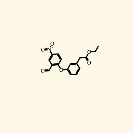 CCOC(=O)Cc1cccc(Oc2ccc([N+](=O)[O-])cc2C=O)c1